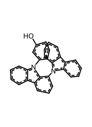 Oc1cccc(-n2c3ccccc3c3cccc(-n4c5ccccc5c5ccccc54)c32)c1